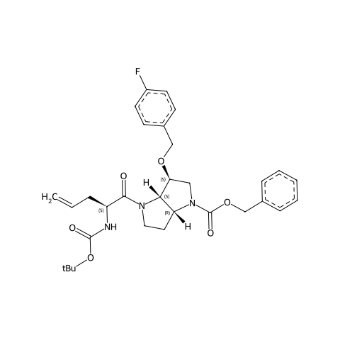 C=CC[C@H](NC(=O)OC(C)(C)C)C(=O)N1CC[C@@H]2[C@H]1[C@@H](OCc1ccc(F)cc1)CN2C(=O)OCc1ccccc1